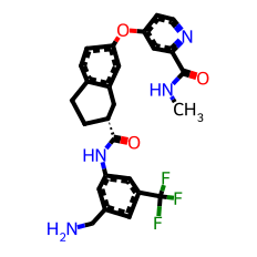 CNC(=O)c1cc(Oc2ccc3c(c2)C[C@H](C(=O)Nc2cc(CN)cc(C(F)(F)F)c2)CC3)ccn1